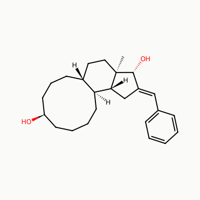 C[C@@]12CC[C@H]3CCC[C@H](O)CCCC[C@@H]3[C@H]1C/C(=C\c1ccccc1)[C@H]2O